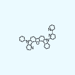 c1ccc(-n2c3cccnc3c3c4oc5c(ccc6c5c5ccccc5n6-c5cccc(-c6ccccn6)n5)c4ccc32)cc1